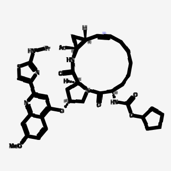 COc1ccc2c(O[C@@H]3C[C@H]4C(=O)N[C@]5(C(C)=O)C[C@@H]5/C=C\CCCCC[C@H](NC(=O)OC5CCCC5)C(=O)N4C3)cc(-c3csc(NC(C)C)n3)nc2c1